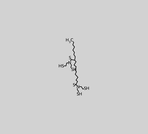 CCCCCCCCC(CCCCCCCCCC(=S)N(CCS)CCS)C(=S)N(CCS)CCS